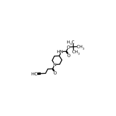 C#CCCC(=O)N1CCC(NC(=O)OC(C)(C)C)CC1